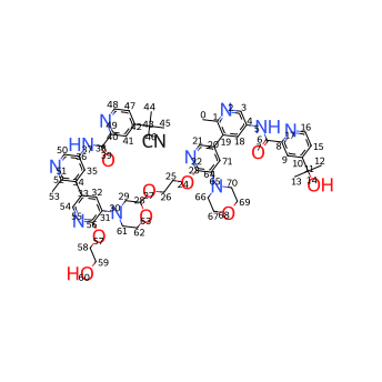 Cc1ncc(NC(=O)c2cc(C(C)(C)O)ccn2)cc1-c1cnc(OCCOC2CN(c3cc(-c4cc(NC(=O)c5cc(C(C)(C)C#N)ccn5)cnc4C)cnc3OCCO)CCO2)c(N2CCOCC2)c1